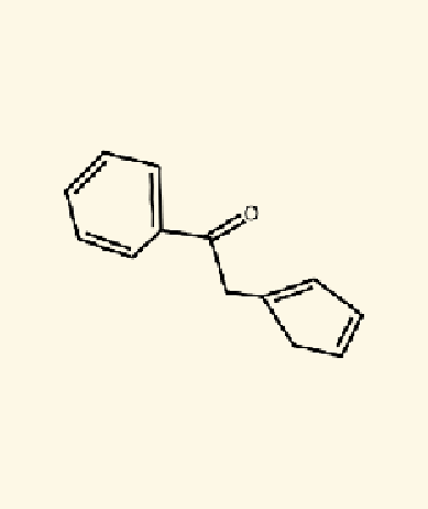 O=C(CC1=CC=CC1)c1ccccc1